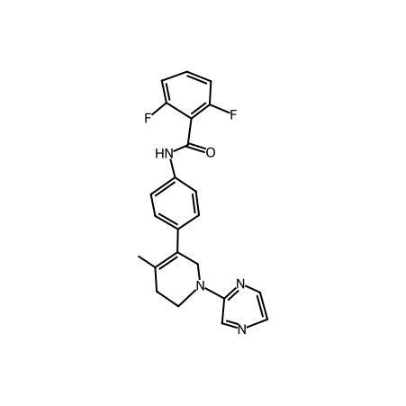 CC1=C(c2ccc(NC(=O)c3c(F)cccc3F)cc2)CN(c2cnccn2)CC1